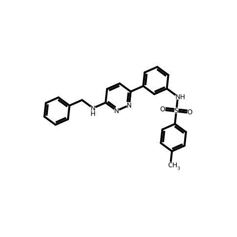 Cc1ccc(S(=O)(=O)Nc2cccc(-c3ccc(NCc4ccccc4)nn3)c2)cc1